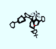 CC1=Cc2c(-c3ccc(C4CCCCC4)cc3)cccc2[CH]1[Zr]([Cl])([Cl])([CH]1C(C2CCCCC2)=Cc2c(-c3ccc(C(C)(C)C)cc3)cccc21)[SiH](C)C